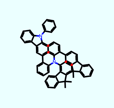 CC1(C)c2ccccc2-c2ccc(-c3ccccc3N(c3ccccc3-c3ccc4c(c3)c3ccccc3n4-c3ccccc3)c3cccc4c3-c3ccccc3C4(C)C)cc21